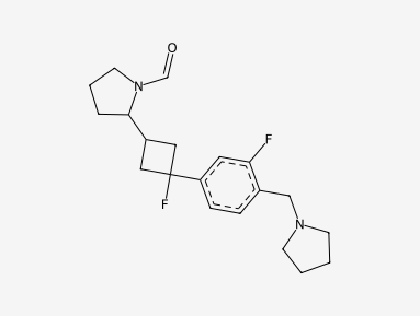 O=CN1CCCC1C1CC(F)(c2ccc(CN3CCCC3)c(F)c2)C1